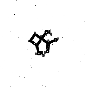 CC1CCC1(C)C([O])=O